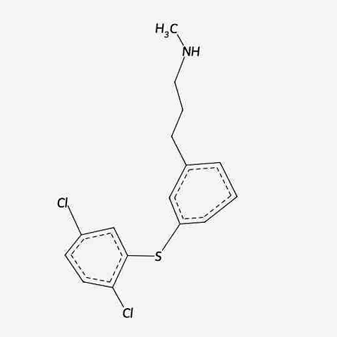 CNCCCc1cccc(Sc2cc(Cl)ccc2Cl)c1